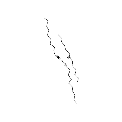 CCCCCCCCCC#CC#CCCCCCCCCC.CCCCCCNCCCCCC